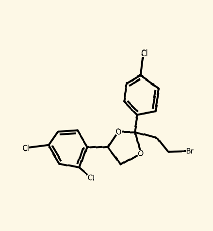 Clc1ccc(C2(CCBr)OCC(c3ccc(Cl)cc3Cl)O2)cc1